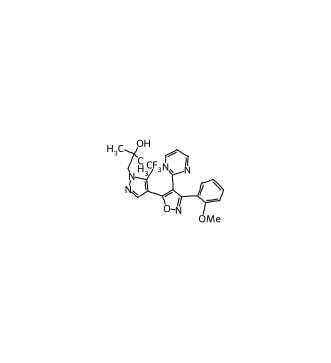 COc1ccccc1-c1noc(-c2cnn(CC(C)(C)O)c2C(F)(F)F)c1-c1ncccn1